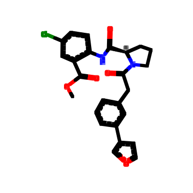 COC(=O)c1cc(Cl)ccc1NC(=O)[C@H]1CCCN1C(=O)Cc1cccc(-c2ccoc2)c1